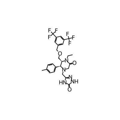 CCN1C(=O)CN(Cc2n[nH]c(=O)[nH]2)[C@@H](c2ccc(C)cc2)[C@H]1COCc1cc(C(F)(F)F)cc(C(F)(F)F)c1